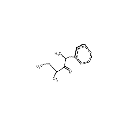 CC(C[N+](=O)[O-])C(=O)C(C)c1ccccc1